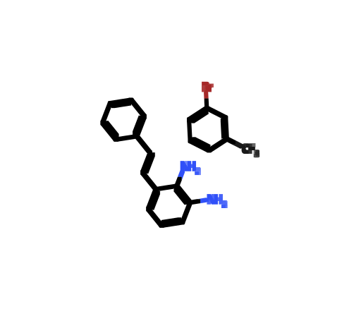 FC(F)(F)c1cccc(Br)c1.Nc1cccc(C=Cc2ccccc2)c1N